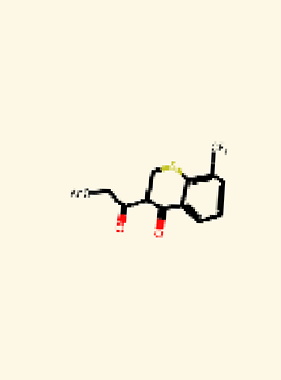 CC(=O)OCC(=O)C1CSc2c(cccc2C(F)(F)F)C1=O